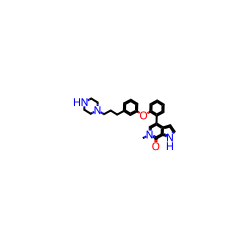 Cn1cc(-c2ccccc2Oc2cccc(CCCN3CCNCC3)c2)c2cc[nH]c2c1=O